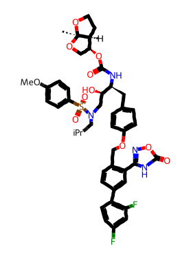 COc1ccc(S(=O)(=O)N(CC(C)C)C[C@@H](O)[C@H](Cc2ccc(OCc3ccc(-c4ccc(F)cc4F)cc3-c3noc(=O)[nH]3)cc2)NC(=O)O[C@H]2CO[C@@]3(C)OCC[C@@H]23)cc1